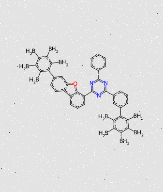 Bc1c(B)c(B)c(-c2cccc(-c3nc(-c4ccccc4)nc(-c4cccc5c4oc4cc(-c6c(B)c(B)c(B)c(B)c6B)ccc45)n3)c2)c(B)c1B